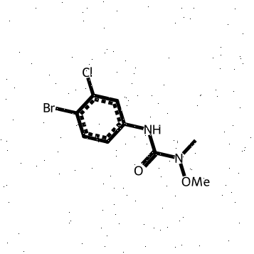 CON(C)C(=O)Nc1ccc(Br)c(Cl)c1